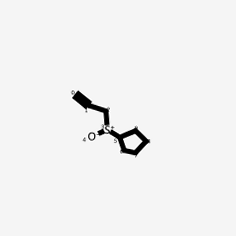 C#CC[S+]([O-])C1CCCC1